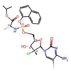 CC(C)OC(=O)[C@@H](C)N[P@@](=O)(OC[C@H]1OC(n2cc(I)c(N)nc2=O)[C@](C)(Cl)[C@@H]1O)Oc1cccc2ccccc12